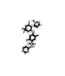 Cc1cc(S(=O)(=O)Nc2ccncn2)c(F)cc1O[C@H]1CC(F)(F)C[C@@H](C)[C@@H]1c1ccnn1C